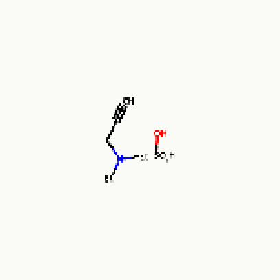 C#CCN(CC)CC.O=S(=O)(O)O